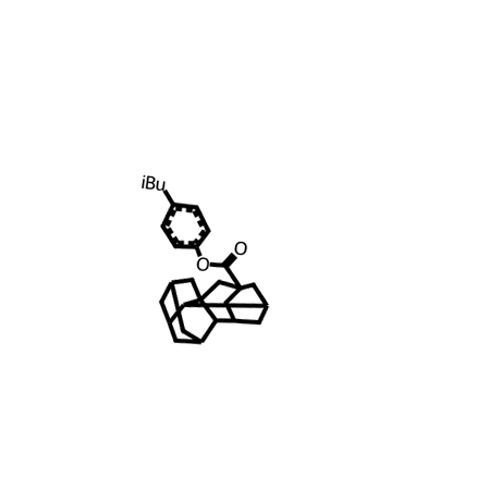 CCC(C)c1ccc(OC(=O)C23CC4CC(C2)C2C5CC6CC(C5)C4C2(C6)C3)cc1